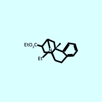 CCOC(=O)C1CC2C3Cc4ccccc4[C@@]2(C)CC1N3CC